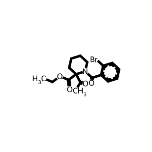 CCOC(=O)C1(C(C)=O)CCCCN1C(=O)c1ccccc1Br